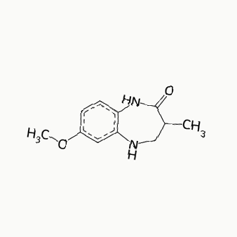 COc1ccc2c(c1)NCC(C)C(=O)N2